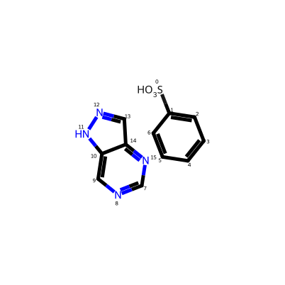 O=S(=O)(O)c1ccccc1.c1ncc2[nH]ncc2n1